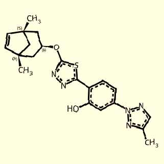 Cc1cnn(-c2ccc(-c3nnc(O[C@H]4C[C@]5(C)C=C[C@](C)(C4)C5)s3)c(O)c2)n1